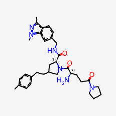 Cc1ccc(CCC2C[C@@H](C(=O)NCc3ccc4c(C)nn(C)c4c3)N(C(=O)[C@H](N)CCC(=O)N3CCCC3)C2)cc1